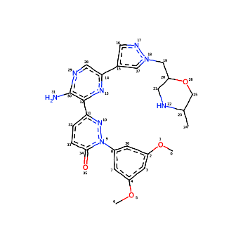 COc1cc(OC)cc(-n2nc(-c3nc(-c4cnn(CC5CNC(C)CO5)c4)cnc3N)ccc2=O)c1